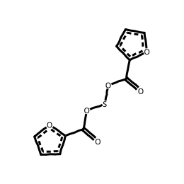 O=C(OSOC(=O)c1ccco1)c1ccco1